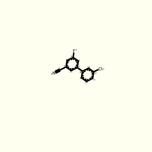 N#Cc1cc(F)cc(-c2cccc(Cl)c2)c1